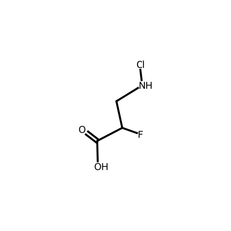 O=C(O)C(F)CNCl